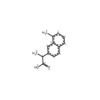 Cc1nccc2ccc(C(C)C(=O)O)cc12